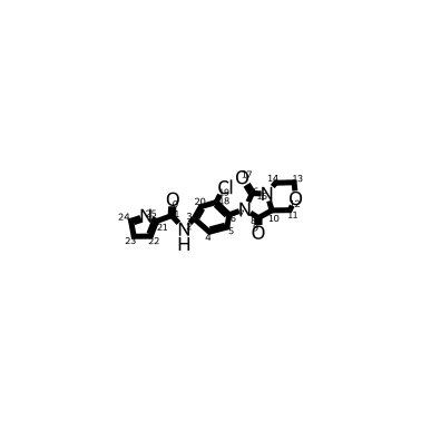 O=C(Nc1ccc(N2C(=O)C3COCCN3C2=O)c(Cl)c1)C1=CCC=N1